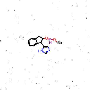 CCC(C)OPOC1Cc2ccccc2C1c1cnc[nH]1